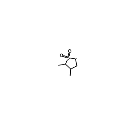 CC1C[CH]S(=O)(=O)C1C